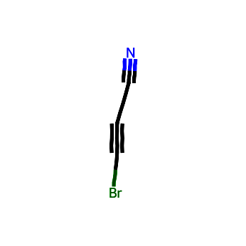 N#CC#CBr